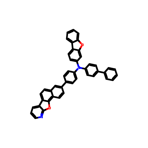 c1ccc(-c2ccc(N(c3ccc(-c4ccc5c(ccc6c7cccnc7oc56)c4)cc3)c3ccc4c(c3)oc3ccccc34)cc2)cc1